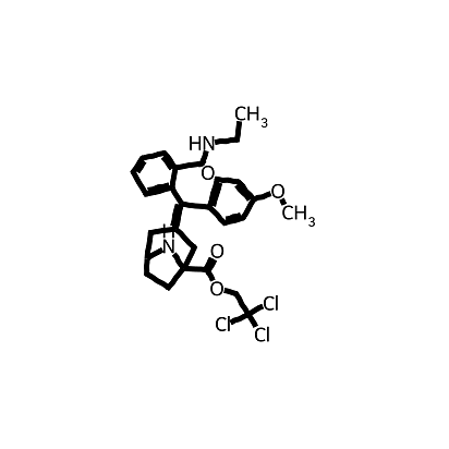 CCNC(=O)c1ccccc1C(=C1CC2CCC(C(=O)OCC(Cl)(Cl)Cl)(C1)N2)c1ccc(OC)cc1